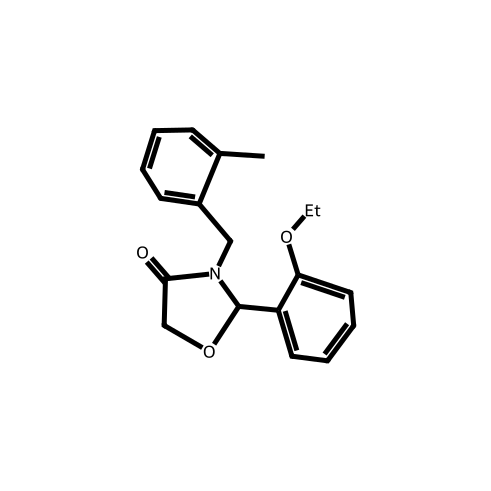 CCOc1ccccc1C1OCC(=O)N1Cc1ccccc1C